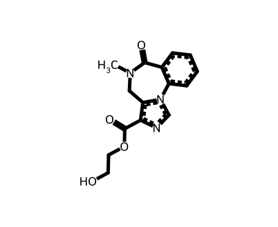 CN1Cc2c(C(=O)OCCO)ncn2-c2ccccc2C1=O